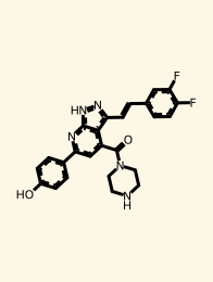 O=C(c1cc(-c2ccc(O)cc2)nc2[nH]nc(/C=C/c3ccc(F)c(F)c3)c12)N1CCNCC1